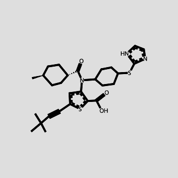 CC(C)(C)C#Cc1cc(N(C(=O)[C@H]2CC[C@H](C)CC2)C2CCC(Sc3ncc[nH]3)CC2)c(C(=O)O)s1